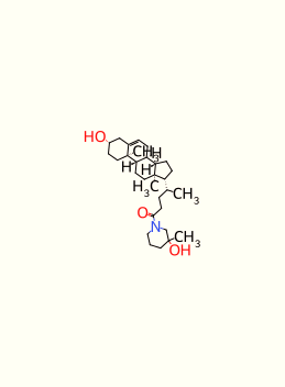 CC(CCC(=O)N1CCCC(C)(O)C1)[C@H]1CC[C@H]2[C@@H]3CC=C4C[C@@H](O)CC[C@]4(C)[C@H]3CC[C@]12C